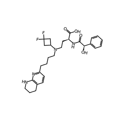 O=C(O)[C@H](CCN(CCCCc1ccc2c(n1)NCCC2)C1CC(F)(F)C1)NC(=O)[C@H](O)c1ccccc1